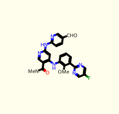 CNC(=O)c1cnc(Nc2ccc(C=O)cn2)cc1Nc1cccc(-c2ncc(F)cn2)c1OC